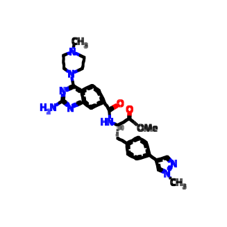 COC(=O)[C@H](Cc1ccc(-c2cnn(C)c2)cc1)NC(=O)c1ccc2c(N3CCN(C)CC3)nc(N)nc2c1